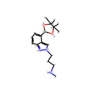 CNCCCn1cc2c(B3OC(C)(C)C(C)(C)O3)cccc2n1